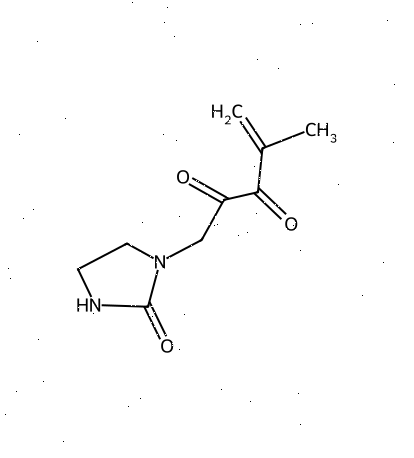 C=C(C)C(=O)C(=O)CN1CCNC1=O